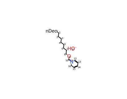 CCCCCCCCCCCCCCCCCCOC=[N+]1C=CC=CC1.[OH-]